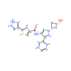 O=C(Nc1cn([C@H]2C[C@@H](O)C2)nc1-c1cnccn1)c1csc(-c2cn[nH]c2)n1